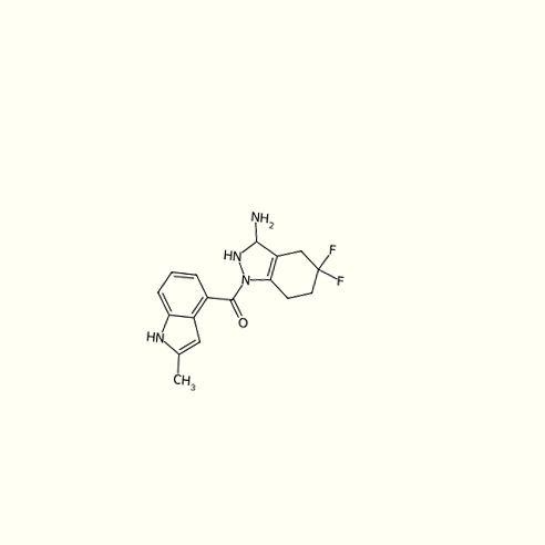 Cc1cc2c(C(=O)N3NC(N)C4=C3CCC(F)(F)C4)cccc2[nH]1